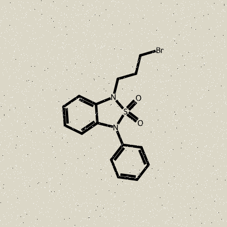 O=S1(=O)N(CCCBr)c2ccccc2N1c1ccccc1